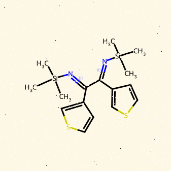 C[Si](C)(C)/N=C(/C(=N/[Si](C)(C)C)c1ccsc1)c1ccsc1